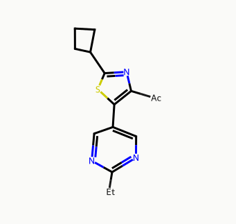 CCc1ncc(-c2sc(C3CCC3)nc2C(C)=O)cn1